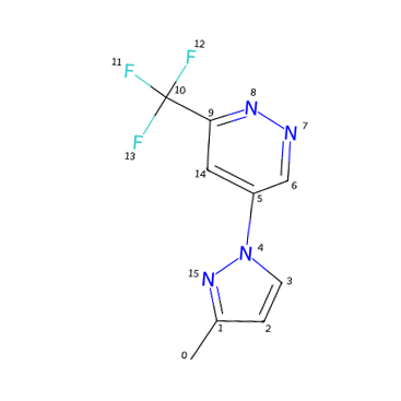 Cc1ccn(-c2cnnc(C(F)(F)F)c2)n1